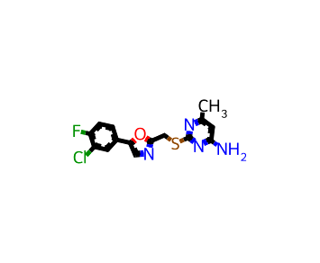 Cc1cc(N)nc(SCc2ncc(-c3ccc(F)c(Cl)c3)o2)n1